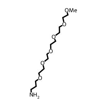 COCCOCCOCCOCCOCCOCCCN